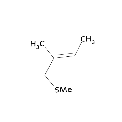 [CH2]SCC(C)=CC